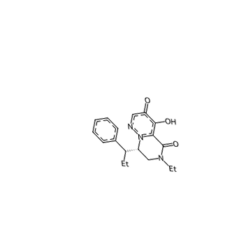 CCC(c1ccccc1)[C@H]1CN(CC)C(=O)c2c(O)c(=O)cnn21